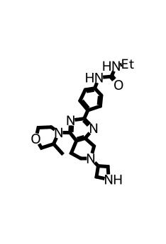 CCNC(=O)Nc1ccc(-c2nc3c(c(N4CCOCC4C)n2)CCN(C2CNC2)C3)cc1